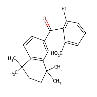 CCc1cccc(C(=O)O)c1C(=O)c1ccc2c(c1)C(C)(C)CCC2(C)C